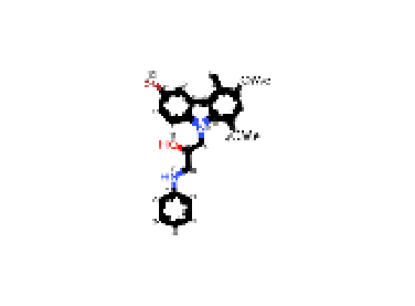 COc1cc(OC)c2c(c1C)c1cc(Br)ccc1n2CC(O)CNc1ccccc1